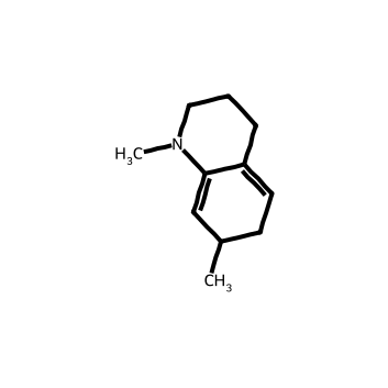 CC1C=C2C(=CC1)CCCN2C